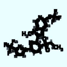 CCS(=O)(=O)c1ccc(-n2ccc(C(F)(F)F)n2)nc1-c1nc2cc(SC(F)(F)F)ncc2n1C